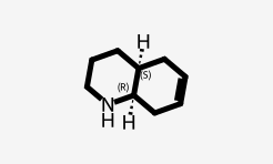 C1=CC[C@H]2NCCC[C@H]2C1